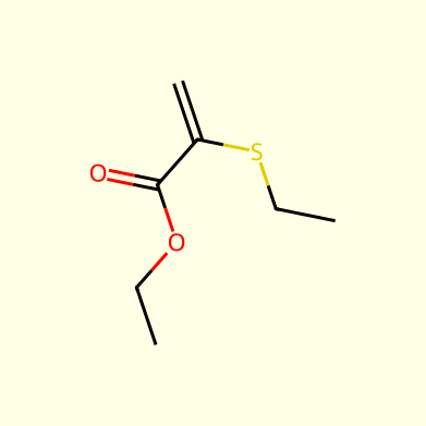 C=C(SCC)C(=O)OCC